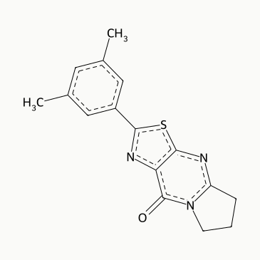 Cc1cc(C)cc(-c2nc3c(=O)n4c(nc3s2)CCC4)c1